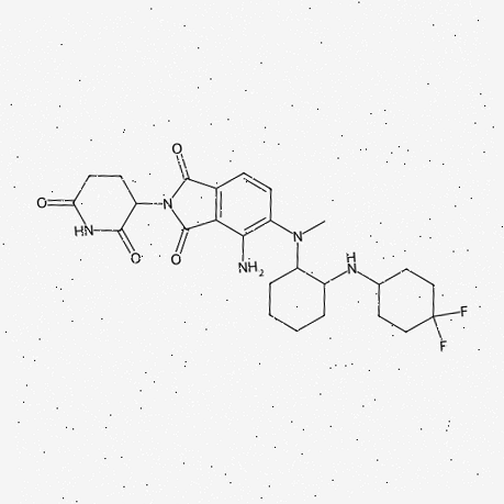 CN(c1ccc2c(c1N)C(=O)N(C1CCC(=O)NC1=O)C2=O)C1CCCCC1NC1CCC(F)(F)CC1